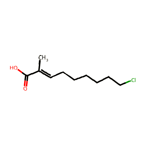 C/C(=C\CCCCCCCl)C(=O)O